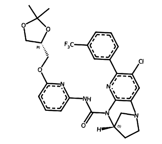 CC1(C)OC[C@@H](COc2cccc(NC(=O)N3c4nc(-c5cccc(C(F)(F)F)c5)c(Cl)cc4N4CC[C@H]3C4)n2)O1